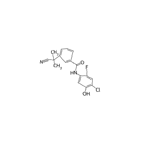 CC(C)(C#N)c1cccc(C(=O)Nc2cc(O)c(Cl)cc2F)c1